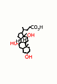 CC(CCC(=O)O)C1CC[C@H]2C3[C@H](O)CC4C[C@H](O)CCC4(C)[C@H]3C[C@H](O)C12C